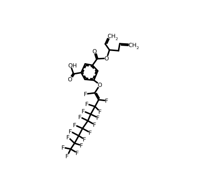 C=CCC(C=C)OC(=O)c1cc(OC(F)=C(F)C(F)(F)C(F)(F)C(F)(F)C(F)(F)C(F)(F)C(F)(F)C(F)(F)F)cc(C(=O)O)c1